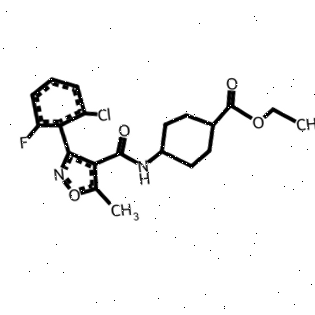 CCOC(=O)C1CCC(NC(=O)c2c(-c3c(F)cccc3Cl)noc2C)CC1